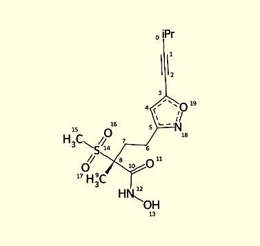 CC(C)C#Cc1cc(CC[C@](C)(C(=O)NO)S(C)(=O)=O)no1